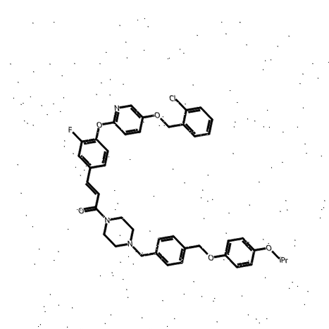 CC(C)Oc1ccc(OCc2ccc(CN3CCN(C(=O)C=Cc4ccc(Oc5ccc(OCc6ccccc6Cl)cn5)c(F)c4)CC3)cc2)cc1